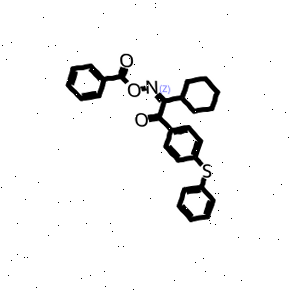 O=C(O/N=C(\C(=O)c1ccc(Sc2ccccc2)cc1)C1CCCCC1)c1ccccc1